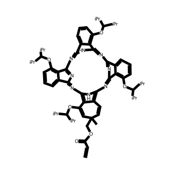 C=CC(=O)OCC1(C)C=Cc2c(c3nc4nc(nc5[nH]c(nc6nc(nc2[nH]3)-c2c(OC(C(C)C)C(C)C)cccc2-6)c2c(OC(C(C)C)C(C)C)cccc52)-c2c(OC(C(C)C)C(C)C)cccc2-4)C(OC(C(C)C)C(C)C)=C1